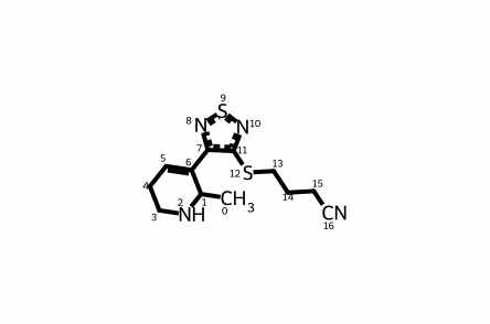 CC1NCCC=C1c1nsnc1SCCCC#N